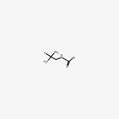 CCC(=O)NCC(F)(P)P